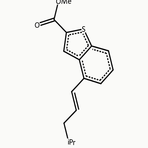 COC(=O)c1cc2c(/C=C/CC(C)C)cccc2s1